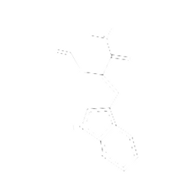 CCN(C)C(=O)/C(=C/c1c[nH]c2ncccc12)OC=S